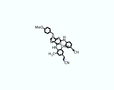 C#Cc1ccc(Nc2nc(Nc3c(C)cc(/C=C/C#N)cc3OC)c3ncn(Cc4ccc(OC)cc4)c3n2)cc1